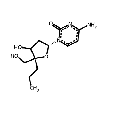 CCC[C@]1(CO)O[C@@H](n2ccc(N)nc2=O)C[C@@H]1O